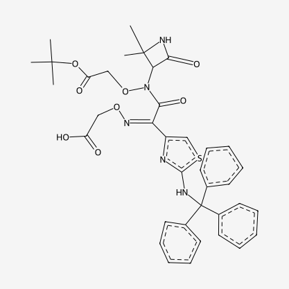 CC(C)(C)OC(=O)CON(C(=O)C(=NOCC(=O)O)c1csc(NC(c2ccccc2)(c2ccccc2)c2ccccc2)n1)C1C(=O)NC1(C)C